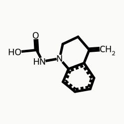 C=C1CCN(NC(=O)O)c2ccccc21